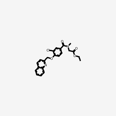 CCOC(=O)CN(C)C(=O)c1ccc(OCc2ccc3ccccc3n2)c(Cl)c1